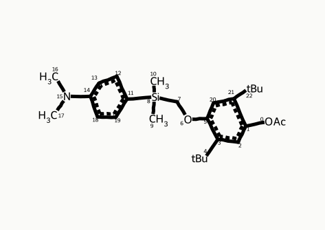 CC(=O)Oc1cc(C(C)(C)C)c(OC[Si](C)(C)c2ccc(N(C)C)cc2)cc1C(C)(C)C